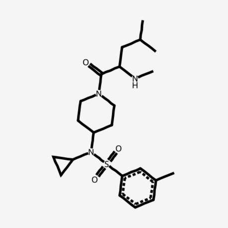 CNC(CC(C)C)C(=O)N1CCC(N(C2CC2)S(=O)(=O)c2cccc(C)c2)CC1